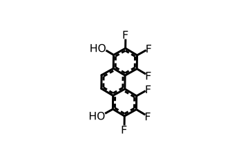 Oc1c(F)c(F)c(F)c2c1ccc1c(O)c(F)c(F)c(F)c12